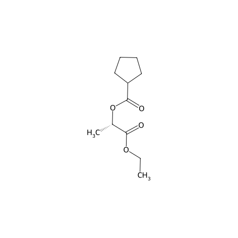 CCOC(=O)[C@H](C)OC(=O)C1CCCC1